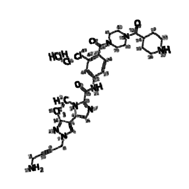 Cl.Cl.Cn1c(-c2cn(CC#CCN)nc2C(F)(F)F)cnc1C(=O)Nc1ccc(C(=O)N2CCN(C(=O)C3CCNCC3)CC2)c(Cl)c1